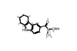 CON(C)C(=O)c1ccc2[nH]c3c(c2c1)CCCC3